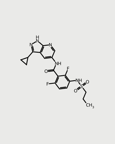 CCCS(=O)(=O)Nc1ccc(F)c(C(=O)Nc2cnc3[nH]nc(C4CC4)c3c2)c1F